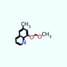 COCOc1cc(C)cc2cccnc12